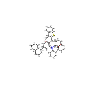 C1=CC(c2ccccc2)C(N(c2cccc(-c3cccc4ccccc34)c2)c2ccccc2-c2cccc3c2sc2ccccc23)C=C1